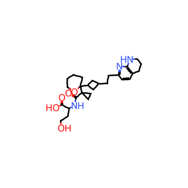 O=C(O)C(CCO)NC(=O)C1(C2(C3CC(CCc4ccc5c(n4)NCCC5)C3)CCCCO2)CC1